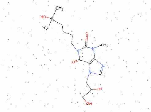 Cn1c(=O)n(CCCCC(C)(C)O)c(=O)c2c1ncn2CC(O)CO